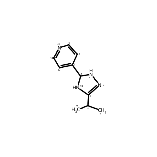 CC(C)C1=NNC(c2ccncc2)N1